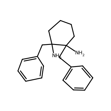 NC1(Cc2ccccc2)CCCCC1(N)Cc1ccccc1